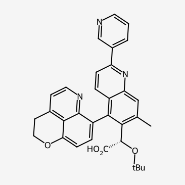 Cc1cc2nc(-c3cccnc3)ccc2c(-c2ccc3c4c(ccnc24)CCO3)c1[C@H](OC(C)(C)C)C(=O)O